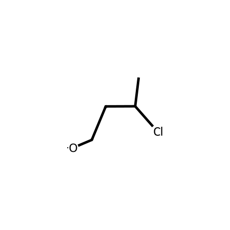 CC(Cl)CC[O]